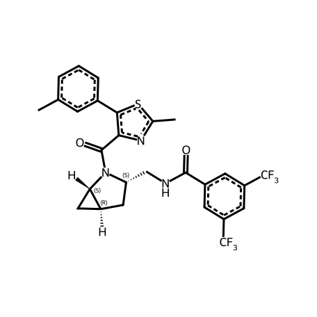 Cc1cccc(-c2sc(C)nc2C(=O)N2[C@H](CNC(=O)c3cc(C(F)(F)F)cc(C(F)(F)F)c3)C[C@H]3C[C@@H]32)c1